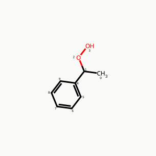 CC(OO)c1ccccc1